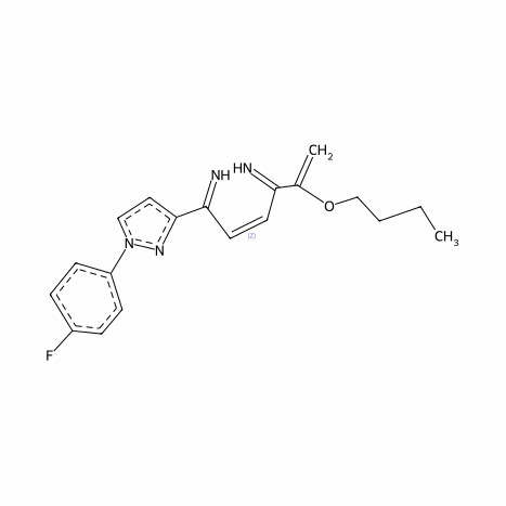 C=C(OCCCC)C(=N)/C=C\C(=N)c1ccn(-c2ccc(F)cc2)n1